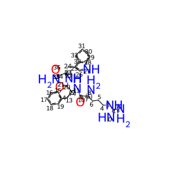 N=C(N)NCCC[C@H](N)C(=O)N[C@@H](Cc1ccccc1)C(=O)N[C@@H](Cc1c[nH]c2ccccc12)C(N)=O